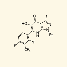 CCn1nc(C)c2c(=O)c(O)c(-c3ccc(F)c(C(F)(F)F)c3F)[nH]c21